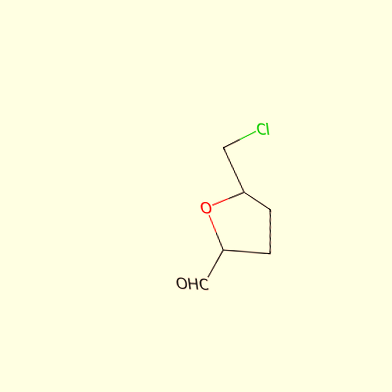 O=CC1CCC(CCl)O1